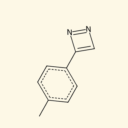 Cc1ccc(C2=CN=N2)cc1